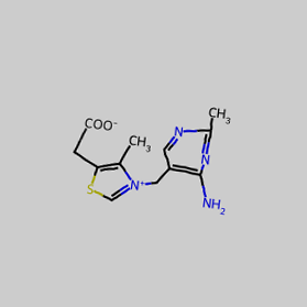 Cc1ncc(C[n+]2csc(CC(=O)[O-])c2C)c(N)n1